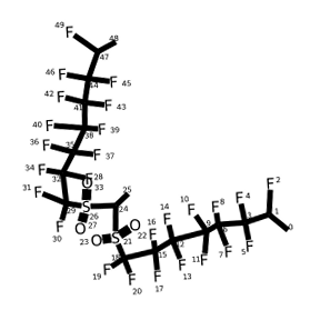 CC(F)C(F)(F)C(F)(F)C(F)(F)C(F)(F)C(F)(F)C(F)(F)S(=O)(=O)C(C)S(=O)(=O)C(F)(F)C(F)(F)C(F)(F)C(F)(F)C(F)(F)C(F)(F)C(C)F